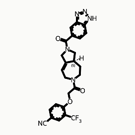 N#Cc1ccc(OCC(=O)N2CC=C3CN(C(=O)c4ccc5[nH]nnc5c4)C[C@H]3CC2)c(C(F)(F)F)c1